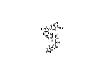 CC(C)Oc1ccc(-c2c[nH]c3nccc(Oc4c(F)cc(NC5=NCC(C(C)(C)CO)O5)cc4F)c23)cc1C#N